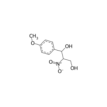 COc1ccc(C(O)C(CO)[N+](=O)[O-])cc1